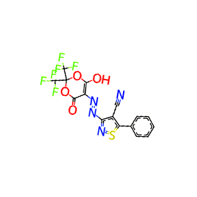 N#Cc1c(N=NC2=C(O)OC(C(F)(F)F)(C(F)(F)F)OC2=O)nsc1-c1ccccc1